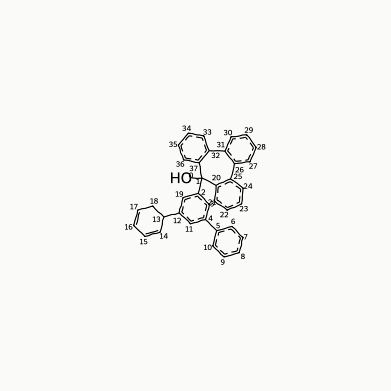 OC1(c2cc(-c3ccccc3)cc(C3C=CC=CC3)c2)c2ccccc2-c2ccccc2-c2ccccc21